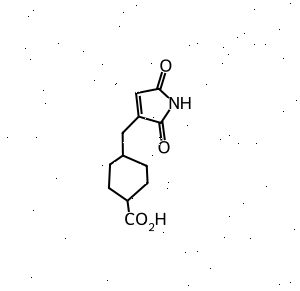 O=C1C=C(CC2CCC(C(=O)O)CC2)C(=O)N1